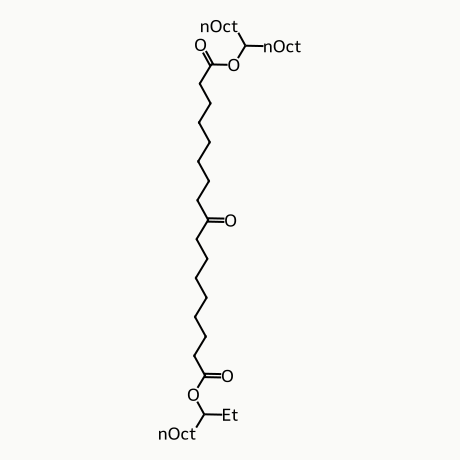 CCCCCCCCC(CC)OC(=O)CCCCCCCC(=O)CCCCCCCC(=O)OC(CCCCCCCC)CCCCCCCC